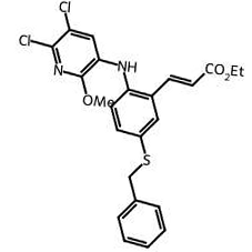 CCOC(=O)/C=C/c1cc(SCc2ccccc2)ccc1Nc1cc(Cl)c(Cl)nc1OC